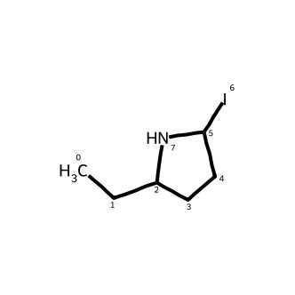 CCC1CCC(I)N1